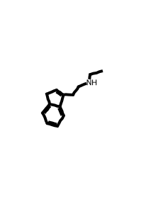 CCNCCC1=CCc2ccccc21